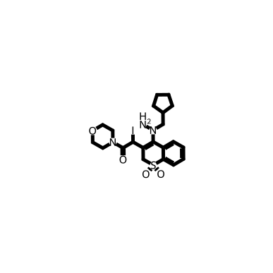 NN(CC1CCCC1)C1=C(C(I)C(=O)N2CCOCC2)CS(=O)(=O)c2ccccc21